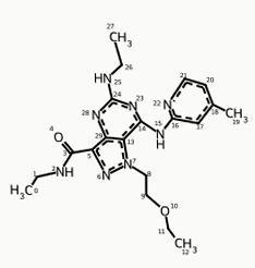 CCNC(=O)c1nn(CCOCC)c2c(Nc3cc(C)ccn3)nc(NCC)nc12